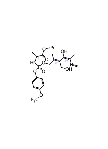 C=N/C(C)=C(O)\C(CO)=C(/C)COP(=O)(N[C@@H](C)C(=O)OC(C)C)Oc1ccc(OC(F)(F)F)cc1